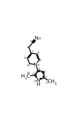 Cc1cc(N2C=CC(CC#N)=CC2)c(C)[nH]1